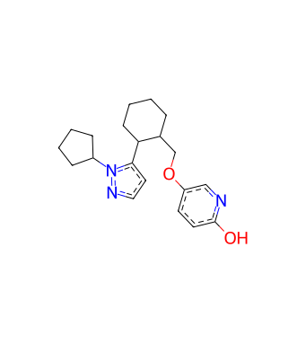 Oc1ccc(OCC2CCCCC2c2ccnn2C2CCCC2)cn1